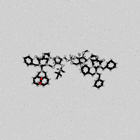 CO[C@@H]1[C@H](O[Si](C)(C)C(C)(C)C)[C@@H](CO[P@]2(=S)OC[C@H]3O[C@@H](n4cnc5c(=O)n(Cc6ccccc6)c(N(Cc6ccccc6)Cc6ccccc6)nc54)[C@H](OC)[C@@H]3O2)O[C@H]1n1cnc2c(=O)n(Cc3ccccc3)c(N(Cc3ccccc3)Cc3ccccc3)nc21